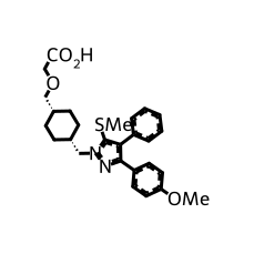 COc1ccc(-c2nn(C[C@H]3CC[C@@H](COCC(=O)O)CC3)c(SC)c2-c2ccccc2)cc1